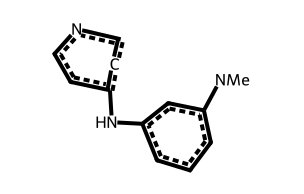 CNc1cccc(Nc2ccncc2)c1